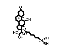 C[C@]12C=CC(=O)C=C1CCC1C3C[C@@H](O)[C@](OC(=O)CCCCCON(O)O)(C(=O)CO)[C@@]3(C)C[C@H](O)[C@@]12F